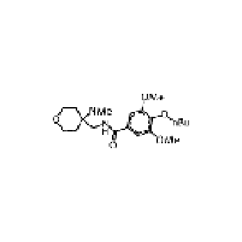 CCCCOc1c(OC)cc(C(=O)NCC2(NC)CCOCC2)cc1OC